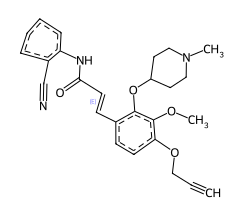 C#CCOc1ccc(/C=C/C(=O)Nc2ccccc2C#N)c(OC2CCN(C)CC2)c1OC